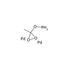 CC1(OP)OO1.[Pd].[Pd]